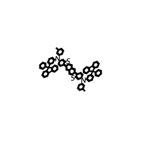 Cc1cccc(N(c2cccc(C3(c4ccccc4)c4ccccc4-c4ccccc43)c2)c2ccc3c(c2)sc2cc4cc5c(cc4cc23)sc2cc(N(c3cccc(C)c3)c3cccc(C4(c6ccccc6)c6ccccc6-c6ccccc64)c3)ccc25)c1